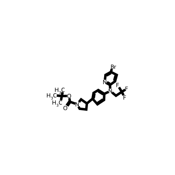 CC(C)(C)OC(=O)N1CCC(c2ccc(N(CC(F)(F)F)c3ccc(Br)cn3)cc2)C1